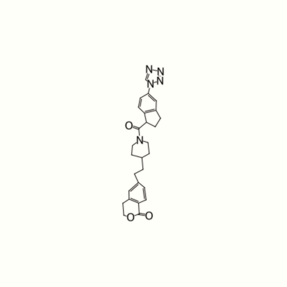 O=C1OCCc2cc(CCC3CCN(C(=O)C4CCc5cc(-n6cnnn6)ccc54)CC3)ccc21